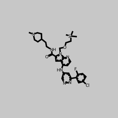 CN1CCC(CCNC(=O)c2cc3c(Nc4cnnc(-c5cc(Cl)ccc5F)c4)ccnc3n2COCC[Si](C)(C)C)CC1